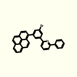 Brc1cc(-c2cccc(-c3ccccc3)n2)cc(-c2ccc3ccc4cccc5ccc2c3c45)c1